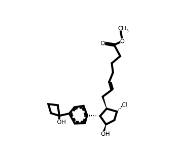 COC(=O)CCCC=CC[C@@H]1[C@@H](c2ccc(C3(O)CCC3)cc2)[C@H](O)C[C@H]1Cl